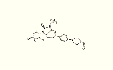 Cn1c(=O)n(C2CCC(=O)NC2=O)c2ccc(-c3ccc(N4CCC(C=O)CC4)cc3)cc21